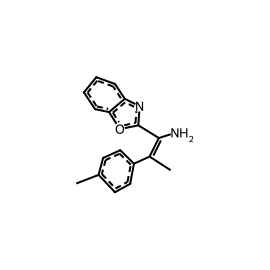 CC(=C(N)c1nc2ccccc2o1)c1ccc(C)cc1